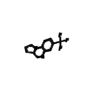 FC(F)(F)c1ccc2c(c1)ncc1cccn12